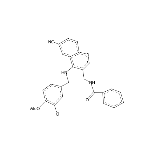 COc1ccc(CNc2c(CNC(=O)c3ccccc3)cnc3ccc(C#N)cc23)cc1Cl